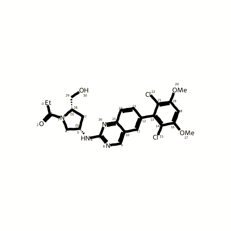 CCC(=O)N1C[C@@H](Nc2ncc3cc(-c4c(Cl)c(OC)cc(OC)c4Cl)ccc3n2)C[C@H]1CO